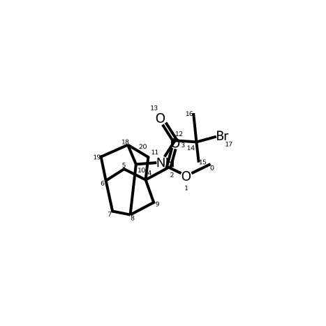 COC(=O)C12CC3CC(C1)C(NC(=O)C(C)(C)Br)C(C3)C2